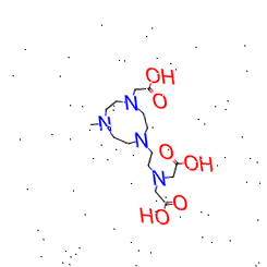 CN1CCN(CCN(CC(=O)O)CC(=O)O)CCN(CC(=O)O)CC1